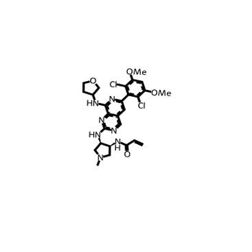 C=CC(=O)N[C@H]1CN(C)C[C@H]1Nc1ncc2cc(-c3c(Cl)c(OC)cc(OC)c3Cl)nc(NC3CCOC3)c2n1